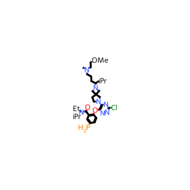 CCN(C(=O)c1cc(P)ccc1Oc1nnc(Cl)nc1N1CCC2(C1)CN(C(CCCN(C)CCOC)C(C)C)C2)C(C)C